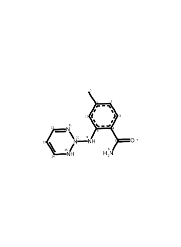 Cc1ccc(C(N)=O)c(NN2N=CC=CN2)c1